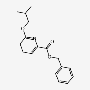 CC(C)COC1=NC(C(=O)OCc2ccccc2)=CCC1